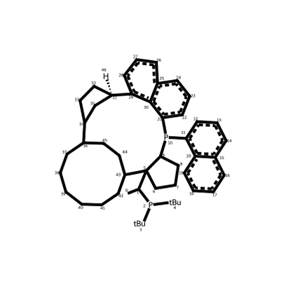 CC(P(C(C)(C)C)C(C)(C)C)C12CCCC1P(c1cccc3ccccc13)c1cccc3cccc(c13)[C@@H]1CCC(C1)C1CCCCCCC2CC1